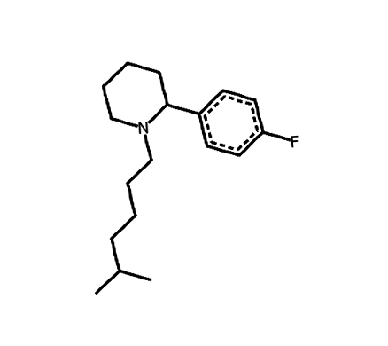 CC(C)CCCCN1CCCCC1c1ccc(F)cc1